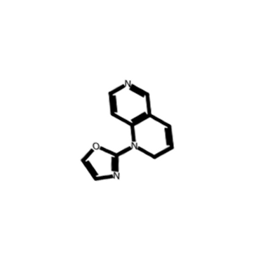 C1=Cc2cnccc2N(c2ncco2)C1